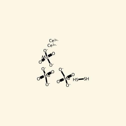 SS.[Ce+3].[Ce+3].[O]=[Mo](=[O])([O-])[O-].[O]=[Mo](=[O])([O-])[O-].[O]=[Mo](=[O])([O-])[O-]